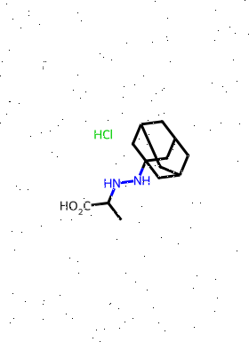 CC(NNC12CC3CC(CC(C3)C1)C2)C(=O)O.Cl